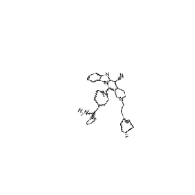 N#Cc1c2c(c(N3CCC(C(N)=O)CC3)n3c1nc1ccccc13)CN(CCc1ccc(F)cc1)CC2